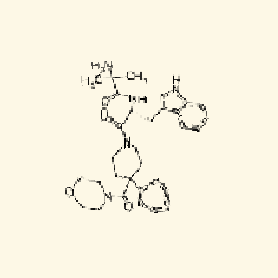 CC(C)(N)C(=O)N[C@H](Cc1c[nH]c2ccccc12)C(=O)N1CCC(C(=O)N2CCOCC2)(c2ccccc2)CC1